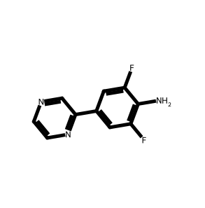 Nc1c(F)cc(-c2cnccn2)cc1F